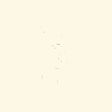 CC(=O)SCC(C)C(=O)N1CCC[C@H]1C(=O)N(C)CC(=O)OC(C)(C)C